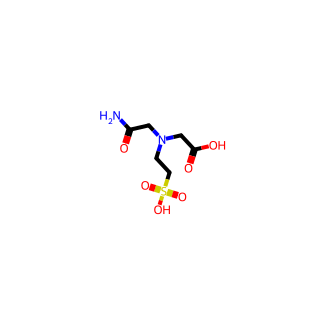 NC(=O)CN(CCS(=O)(=O)O)CC(=O)O